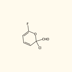 O=CC1(Cl)C=CC=C(F)O1